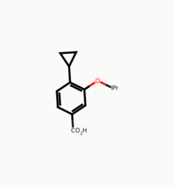 CC(C)Oc1cc(C(=O)O)ccc1C1CC1